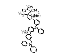 C=C(/C=C\C(NC)c1cccc(N(c2ccccc2)c2ccc3[nH]c4ccc(CN(C5=CC=CCC=C5)c5ccccc5)cc4c3c2)c1)OC(=C)C(=N)Cl